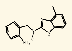 Cc1cccc2[nH]c([S+]([O-])Cc3ccccc3N)nc12